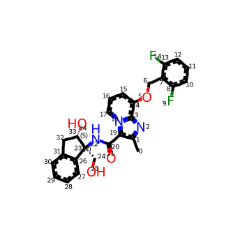 Cc1nc2c(OCc3c(F)cccc3F)cccn2c1C(=O)N[C@@]1(CO)c2ccccc2C[C@@H]1O